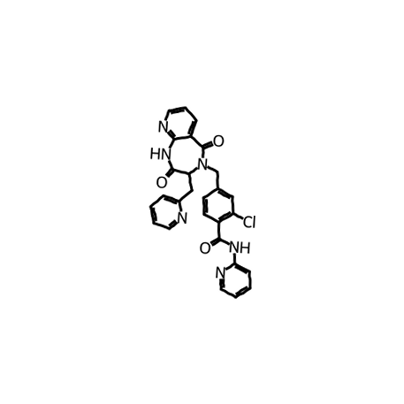 O=C(Nc1ccccn1)c1ccc(CN2C(=O)c3cccnc3NC(=O)C2Cc2ccccn2)cc1Cl